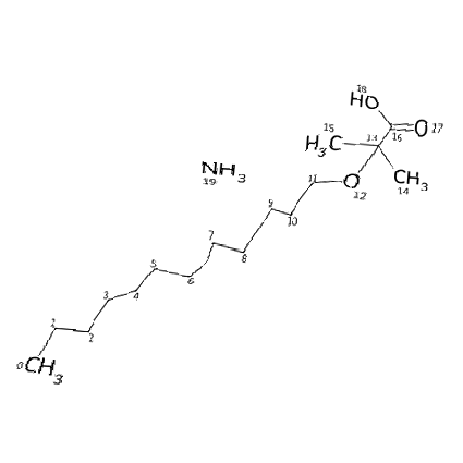 CCCCCCCCCCCCOC(C)(C)C(=O)O.N